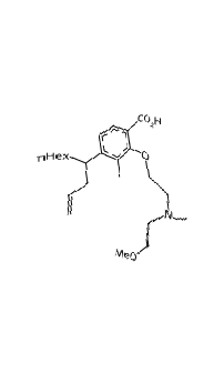 C=CCC(CCCCCC)c1ccc(C(=O)O)c(OCCN(C)CCOC)c1C